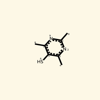 Cc1nc(C)c(S)c(C)n1